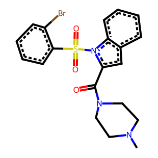 CN1CCN(C(=O)c2cc3ccccc3n2S(=O)(=O)c2ccccc2Br)CC1